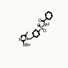 [CH2]c1cnc(CCCC)n1Cc1ccc(S(=O)(=O)NC(=O)c2ccccc2)cc1